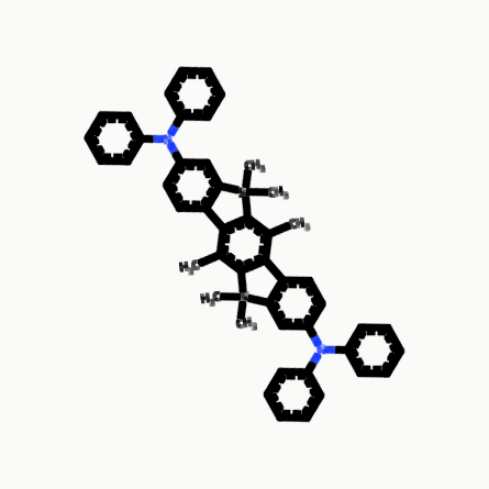 Cc1c2c(c(C)c3c1[Si](C)(C)c1cc(N(c4ccccc4)c4ccccc4)ccc1-3)[Si](C)(C)c1cc(N(c3ccccc3)c3ccccc3)ccc1-2